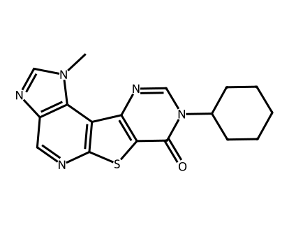 Cn1cnc2cnc3sc4c(=O)n(C5CCCCC5)cnc4c3c21